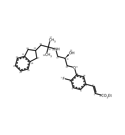 CCOC(=O)/C=C/c1ccc(F)c(OC[C@H](O)CNC(C)(C)CC2Cc3ccccc3C2)c1